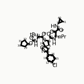 CCC[C@H](NC(=O)[C@@H]1C[C@]2(CC(c3ccc(Cl)cc3)=NO2)CN1C(=O)[C@@H](NC(=O)OC1CCCC1)C(C)(C)C)C(=O)C(=O)NC1CC1